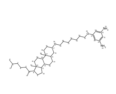 CC(C)CCCC(C)C1CCC2C3CCC4CC(OCCCCCCCOc5cc(N)cc(N)c5)CCC4(C)C3CCC12C